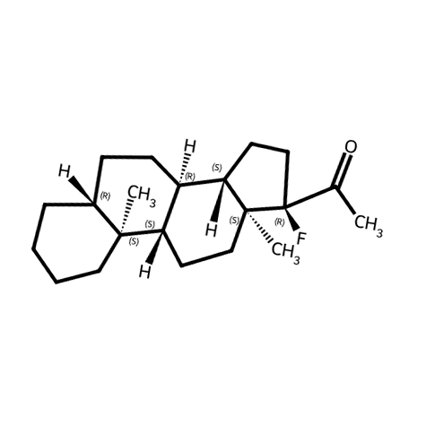 CC(=O)[C@@]1(F)CC[C@H]2[C@@H]3CC[C@H]4CCCC[C@]4(C)[C@H]3CC[C@@]21C